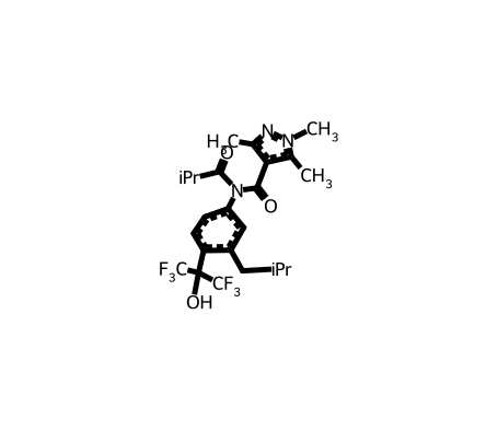 Cc1nn(C)c(C)c1C(=O)N(C(=O)C(C)C)c1ccc(C(O)(C(F)(F)F)C(F)(F)F)c(CC(C)C)c1